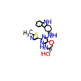 Cc1ncc(-c2nc3c(c(N[C@@H]4CCc5[nH]c6ccccc6c5C4)n2)OC[C@@H](CO)N3)s1